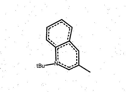 Cc1cc2ccccc2[n+](C(C)(C)C)c1